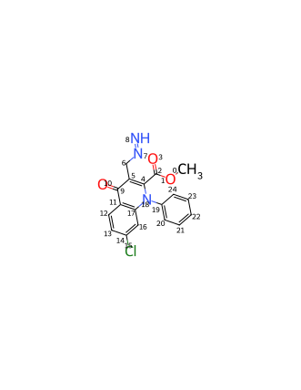 COC(=O)c1c(CN=N)c(=O)c2ccc(Cl)cc2n1-c1ccccc1